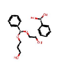 OB(O)c1ccccc1.OCCCOB(OCCO)c1ccccc1